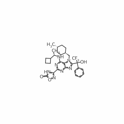 C[C@@H](Nc1nc(-c2noc(=O)[nH]2)nc2nc(C(O)(c3ccccc3)C(F)(F)F)n(C[C@H]3CC[C@H](C)CC3)c12)C1CCC1